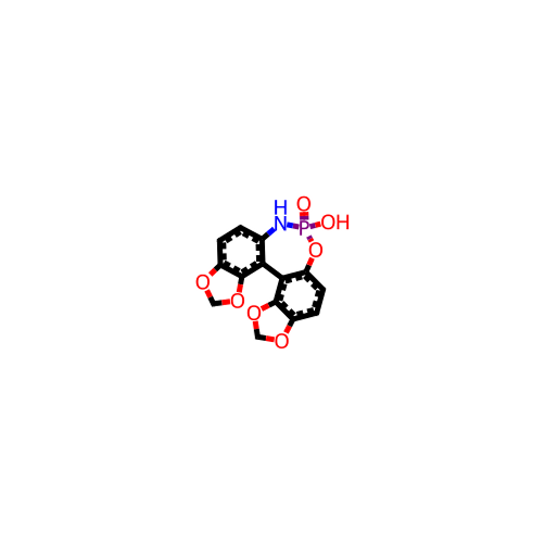 O=P1(O)Nc2ccc3c(c2-c2c(ccc4c2OCO4)O1)OCO3